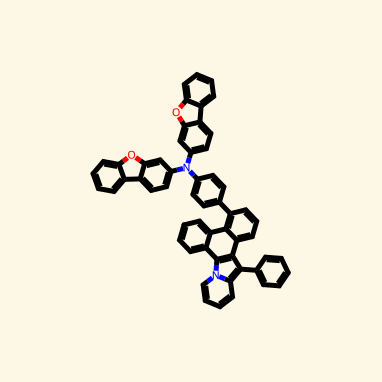 c1ccc(-c2c3c4cccc(-c5ccc(N(c6ccc7c(c6)oc6ccccc67)c6ccc7c(c6)oc6ccccc67)cc5)c4c4ccccc4c3n3ccccc23)cc1